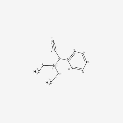 CCN(CC)C(C#N)c1ccccn1